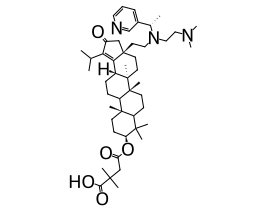 CC(C)C1=C2[C@H]3CCC4[C@@]5(C)CC[C@H](OC(=O)CC(C)(C)C(=O)O)C(C)(C)C5CC[C@@]4(C)[C@]3(C)CC[C@@]2(CCN(CCN(C)C)[C@@H](C)c2cccnc2)CC1=O